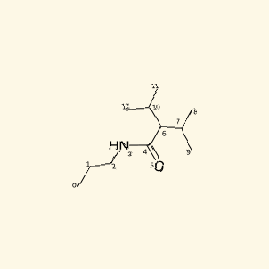 CCCNC(=O)C(C(C)C)C(C)C